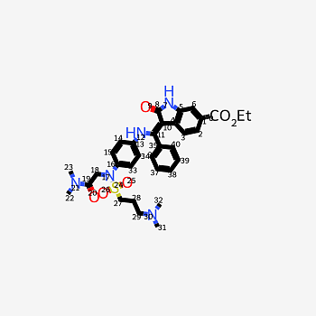 CCOC(=O)c1ccc2c(c1)NC(=O)/C2=C(\Nc1ccc(N(CC(=O)N(C)C)S(=O)(=O)CCCN(C)C)cc1)c1ccccc1